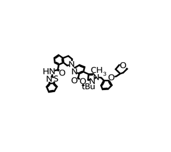 Cc1c(-c2ccc(N3CCc4cccc(C(=O)Nc5nc6ccccc6s5)c4C3)nc2C(=O)OC(C)(C)C)cnn1Cc1ccccc1OCC1CCOCC1